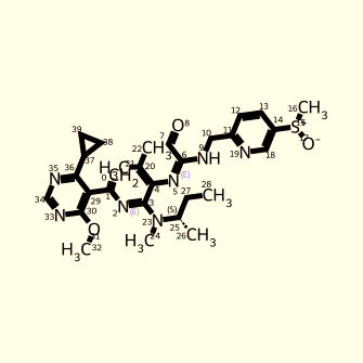 C=C(/N=C(\C(/N=C(\C=O)NCc1ccc([S+](C)[O-])cn1)=C(C)C)N(C)[C@@H](C)CC)c1c(OC)ncnc1C1CC1